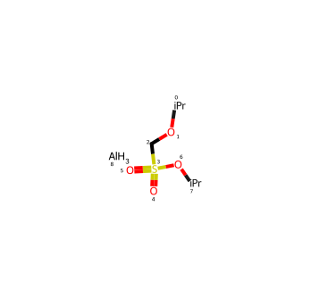 CC(C)OCS(=O)(=O)OC(C)C.[AlH3]